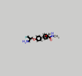 CNC(=O)[C@@H]1C=C2C3CC1C[C@]2(c1ccc(OC/C(=C/F)CN)cc1)C3